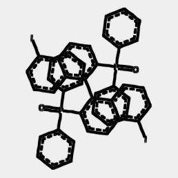 O=P(c1ccccc1)(c1ccccc1)c1ccc2c(I)cccc2c1-c1c(P(=O)(c2ccccc2)c2ccccc2)ccc2c(I)cccc12